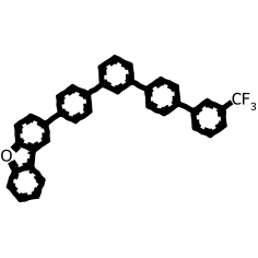 FC(F)(F)c1cccc(-c2ccc(-c3cccc(-c4ccc(-c5ccc6oc7ccccc7c6c5)cc4)c3)cc2)c1